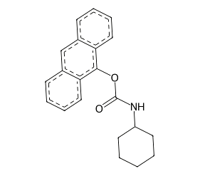 O=C(NC1CCCCC1)Oc1c2ccccc2cc2ccccc12